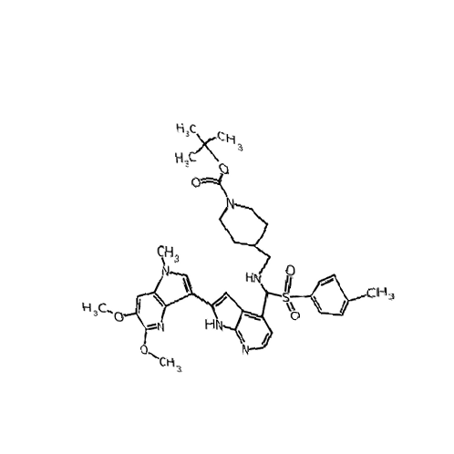 COc1cc2c(nc1OC)c(-c1cc3c(C(NCC4CCN(C(=O)OC(C)(C)C)CC4)S(=O)(=O)c4ccc(C)cc4)ccnc3[nH]1)cn2C